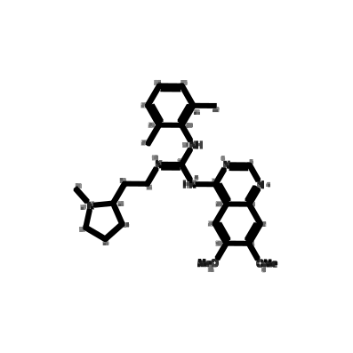 COc1cc2ncnc(N/C(=N\CCC3CCCN3C)Nc3c(C)cccc3C)c2cc1OC